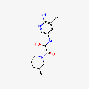 CCc1cc(NC(O)C(=O)N2CCC[C@H](C)C2)cnc1N